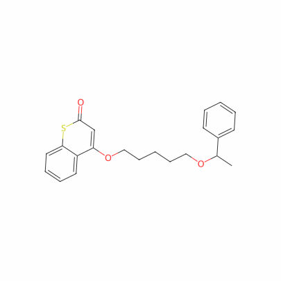 CC(OCCCCCOc1cc(=O)sc2ccccc12)c1ccccc1